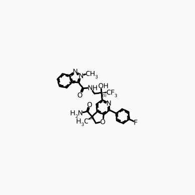 Cn1nc2ccccc2c1C(=O)NC[C@](O)(c1cc2c(c(-c3ccc(F)cc3)n1)OC[C@]2(C)C(N)=O)C(F)(F)F